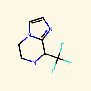 FC(F)(F)C1[N]CCn2ccnc21